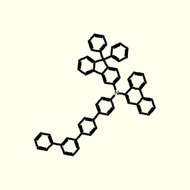 c1ccc(-c2cccc(-c3ccc(-c4ccc(N(c5ccc6c(c5)-c5ccccc5C6(c5ccccc5)c5ccccc5)c5cc6ccccc6c6ccccc56)cc4)cc3)c2)cc1